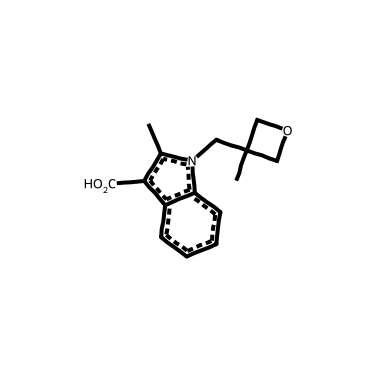 Cc1c(C(=O)O)c2ccccc2n1CC1(C)COC1